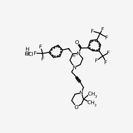 CC1(C)COCCN1CC#CCN1CCN(C(=O)c2cc(C(F)(F)F)cc(C(F)(F)F)c2)[C@H](Cc2ccc(C(F)(F)F)cc2)C1.Cl.Cl